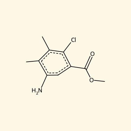 COC(=O)c1cc(N)c(C)c(C)c1Cl